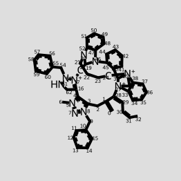 C=C1Cc2c([n+](C)nn2Cc2ccccc2)C2=[N+](CC3N4CCCC[N+]56C[N+](/C1=C/C=C\C)(c1ccccc15)C6c1ccccc1N3c1ccccc14)N(Cc1ccccc1)NC2